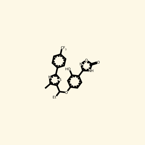 CCC(Oc1ccc(-c2noc(=O)[nH]2)c(O)c1)c1sc(-c2ccc(C(F)(F)F)cc2)nc1C